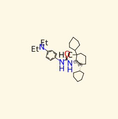 CCN(CC)c1ccc(NC(=O)N[C@H]2[C@@H](C3CCCCC3)CCCC2(C)C2CCCCC2)cc1